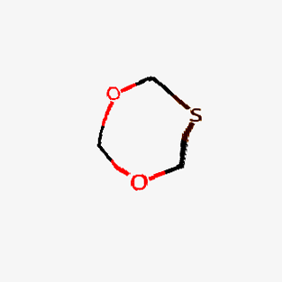 C1OCSCO1